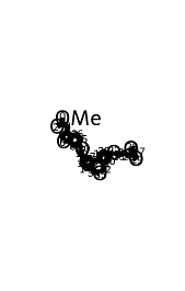 COC(=O)CC1COc2cc(OCc3ccc4c(c3)-c3ccc(OCCCS(C)(=O)=O)cc3COC4)ccc21